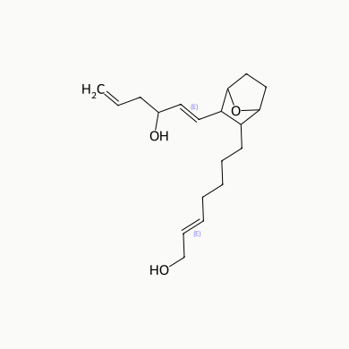 C=CCC(O)/C=C/C1C2CCC(O2)C1CCCC/C=C/CO